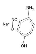 Nc1ccc(O)cc1.O=N[O-].[Na+]